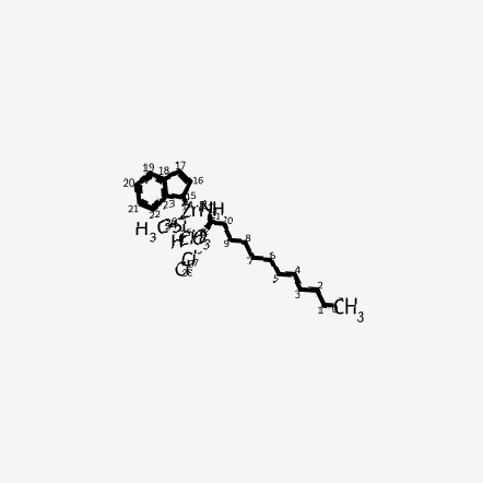 CCCCCCCCCCCC(=O)[NH][Zr+2]([CH]1C=Cc2ccccc21)[SiH](C)C.[Cl-].[Cl-]